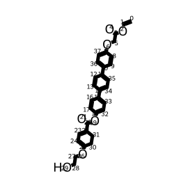 C=COC(=O)COc1ccc(-c2ccc(-c3ccc(OC(=O)C4=CC=C(OCCO)CC4)cc3)cc2)cc1